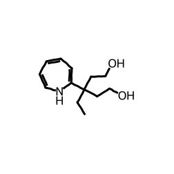 CCC(CCO)(CCO)C1=CC=CC=CN1